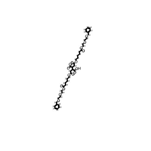 O=C(CCCCCOC(=O)CC(C(=O)O)C(CC(=O)OCCCCCC(=O)OCCOCCOCc1ccccc1)C(=O)O)OCCOCCOCc1ccccc1